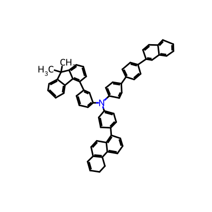 CC1(C)c2ccccc2-c2c(-c3cccc(N(c4ccc(-c5ccc(-c6ccc7ccccc7c6)cc5)cc4)c4ccc(-c5cccc6c7c(ccc56)C=CCC7)cc4)c3)cccc21